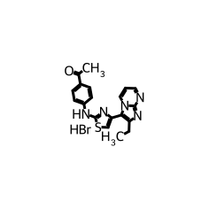 Br.CCc1nc2ncccn2c1-c1csc(Nc2ccc(C(C)=O)cc2)n1